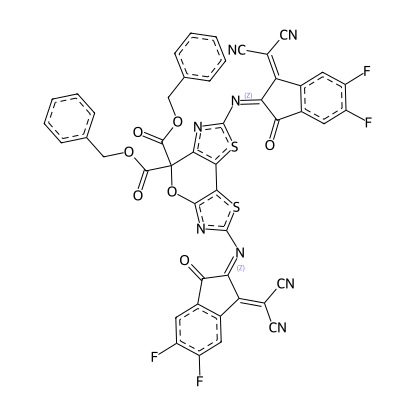 N#CC(C#N)=C1/C(=N/c2nc3c(s2)-c2sc(/N=C4\C(=O)c5cc(F)c(F)cc5C4=C(C#N)C#N)nc2C(C(=O)OCc2ccccc2)(C(=O)OCc2ccccc2)O3)C(=O)c2cc(F)c(F)cc21